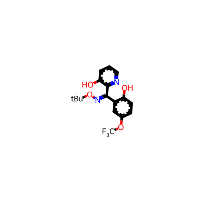 CC(C)(C)ON=C(c1cc(OC(F)(F)F)ccc1O)c1ncccc1O